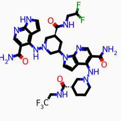 NC(=O)c1cnc2[nH]ccc2c1NN1CC(n2ccc3c(NN4CCC[C@H](C(=O)NCC(F)(F)F)C4)c(C(N)=O)cnc32)C[C@H](C(=O)NCC(F)F)C1